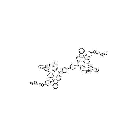 CCOCCOc1ccc(C2(c3ccc(OCC4(CC)COC4)cc3)c3ccccc3-c3ccc(N(c4ccc(-c5ccc(N(c6ccc(F)c(F)c6)c6ccc7c(c6)C(c6ccc(OCCOCC)cc6)(c6ccc(OCC8(CC)COC8)cc6)c6ccccc6-7)cc5)cc4)c4ccc(F)c(F)c4)cc32)cc1